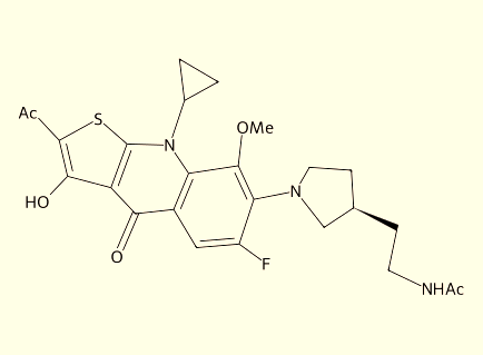 COc1c(N2CC[C@@H](CCNC(C)=O)C2)c(F)cc2c(=O)c3c(O)c(C(C)=O)sc3n(C3CC3)c12